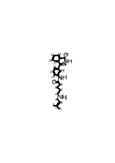 CC(C)=CCNCCCCC(=O)Nc1cccc(-c2n[nH]c(=O)c3ccccc23)c1